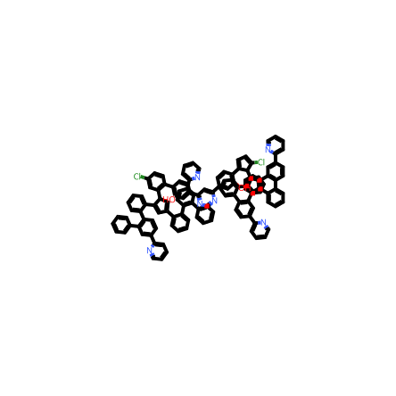 Oc1cc(-c2cc(-c3ccc(-c4ccc(Cl)cc4C4C=C(c5ccccc5-c5ccc(-c6ccccn6)cc5-c5ccccc5)C=C4c4ccccc4-c4ccc(-c5ccccn5)cc4-c4ccccc4)c(O)c3)ncn2)ccc1C1=CC=C(Cl)C1C1C=C(c2ccccc2-c2ccc(-c3ccccn3)cc2-c2ccccc2)C=C1c1ccccc1-c1ccc(-c2ccccn2)cc1-c1ccccc1